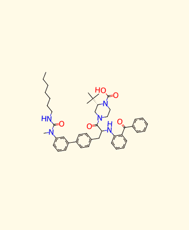 CCCCCCCNC(=O)N(C)c1cccc(-c2ccc(CC(Nc3ccccc3C(=O)c3ccccc3)C(=O)N3CCN(C(=O)O)[C@@H](C(C)(C)C)C3)cc2)c1